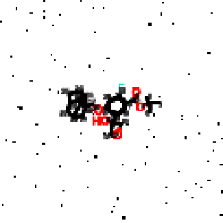 CC(C)(C)OC(=O)c1cc(C2(O)COC2)c(OCC23CC4CC(CC(C4)C2)C3)cc1F